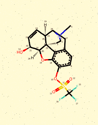 CN1CC[C@]23c4c5ccc(OS(=O)(=O)C(F)(F)F)c4O[C@H]2[C@@H](O)C=C[C@H]3C1C5